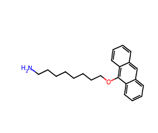 NCCCCCCCCOc1c2ccccc2cc2ccccc12